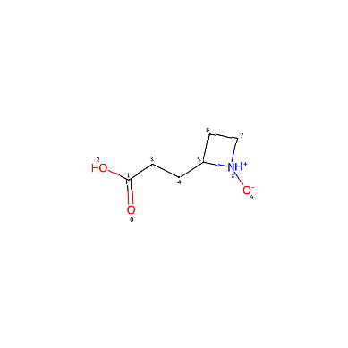 O=C(O)CCC1CC[NH+]1[O-]